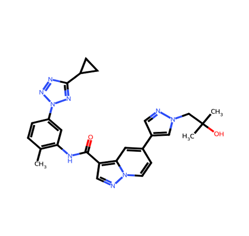 Cc1ccc(-n2nnc(C3CC3)n2)cc1NC(=O)c1cnn2ccc(-c3cnn(CC(C)(C)O)c3)cc12